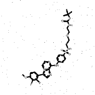 COc1ccc(-c2cnc3c(Nc4ccc(S(=O)(=O)NCCOCCNC(=O)OC(C)(C)C)cc4)nccn23)c(F)c1F